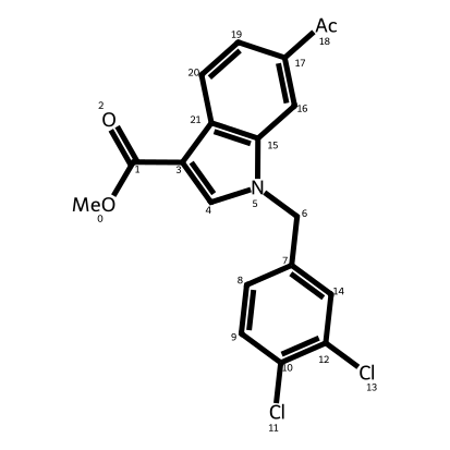 COC(=O)c1cn(Cc2ccc(Cl)c(Cl)c2)c2cc(C(C)=O)ccc12